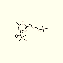 CC(COC(=O)C(C)(C)C)OC(=O)OCCOC(C)(C)C